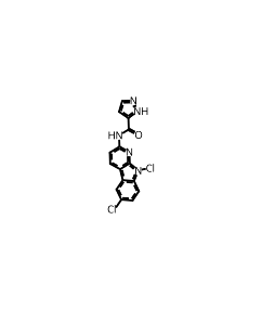 O=C(Nc1ccc2c3cc(Cl)ccc3n(Cl)c2n1)c1ccn[nH]1